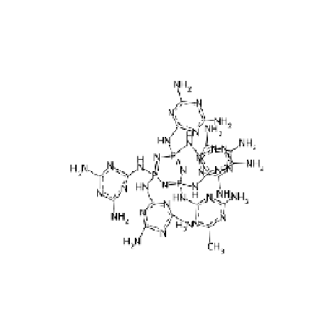 Cc1nc(N)nc(NP2(Nc3nc(N)nc(N)n3)=NP(Nc3nc(N)nc(N)n3)(Nc3nc(N)nc(N)n3)=NP(Nc3nc(N)nc(N)n3)(Nc3nc(N)nc(N)n3)=N2)n1